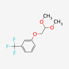 COC(COc1cccc(C(F)(F)F)c1)OC